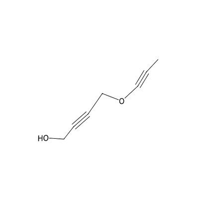 CC#COCC#CCO